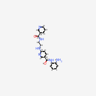 Nc1ccccc1NC(=O)c1ccc(NCCNC(=O)c2cccnc2)nc1